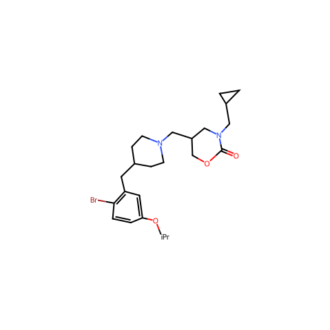 CC(C)Oc1ccc(Br)c(CC2CCN(CC3COC(=O)N(CC4CC4)C3)CC2)c1